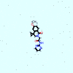 COc1ccc2c(c1)C1(CC1)CN(CC(=O)Nc1ncccn1)C2=O